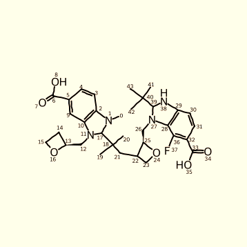 CN1c2ccc(C(=O)O)cc2N(C[C@@H]2CCO2)C1C(C)(C)CC1CO[C@@H]1CN1c2c(ccc(C(=O)O)c2F)NC1C(C)(C)C